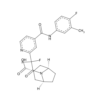 Cc1cc(NC(=O)c2ccnc(C(F)(F)C(=O)N3[C@@H]4CC[C@H]3C[C@H](C(=O)O)C4)c2)ccc1F